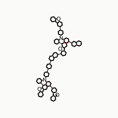 c1ccc(N(c2ccc(-c3ccc(-c4ccc5ccc(-c6cccc7c6oc6c(-c8ccccc8N(c8ccc(-c9ccc%10ccccc%10c9)cc8)c8ccc(-c9ccc%10oc%11ccccc%11c%10c9)cc8)cccc67)cc5c4)cc3)cc2)c2ccc(-c3ccc4oc5ccccc5c4c3)cc2)c(-c2cccc3c2oc2ccccc23)c1